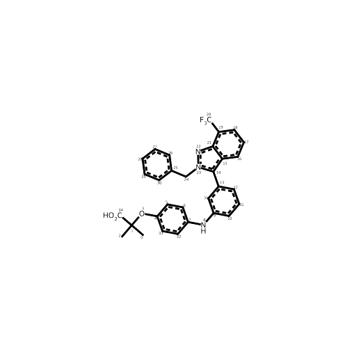 CC(C)(Oc1ccc(Nc2cccc(-c3c4cccc(C(F)(F)F)c4nn3Cc3ccccc3)c2)cc1)C(=O)O